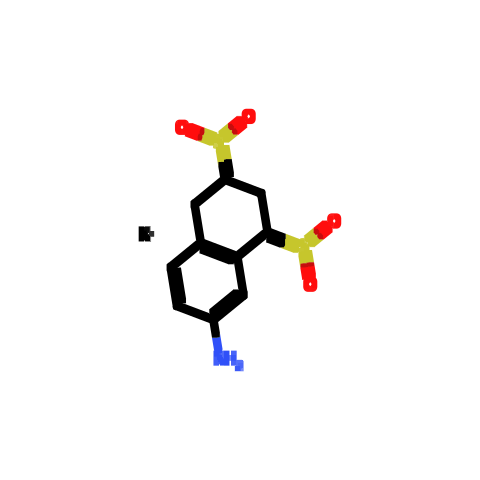 Nc1ccc2c(c1)C(=S(=O)=O)CC(=S(=O)=O)C2.[K]